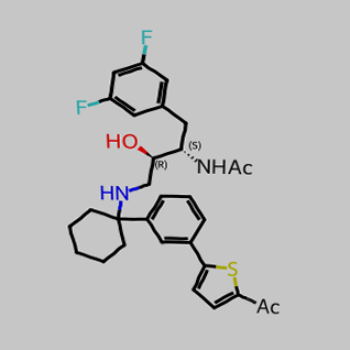 CC(=O)N[C@@H](Cc1cc(F)cc(F)c1)[C@H](O)CNC1(c2cccc(-c3ccc(C(C)=O)s3)c2)CCCCC1